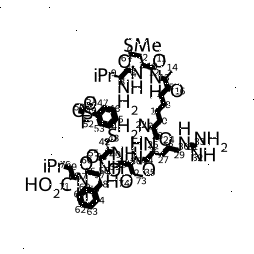 CSCC[C@H](NC(=O)[C@@H](N)C(C)C)C(=O)N[C@@H](C)C(=O)CCCC[C@H](N)C(=O)N[C@@H](CCCNC(=N)N)C(=O)N[C@H](C(=O)N[C@@H](CSc1cccc(S(=O)(=O)F)c1)C(=O)N[C@@H](Cc1ccccc1)C(=O)N[C@@H](CC(C)C)C(=O)O)[C@@H](C)O